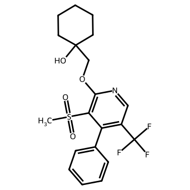 CS(=O)(=O)c1c(OCC2(O)CCCCC2)ncc(C(F)(F)F)c1-c1ccccc1